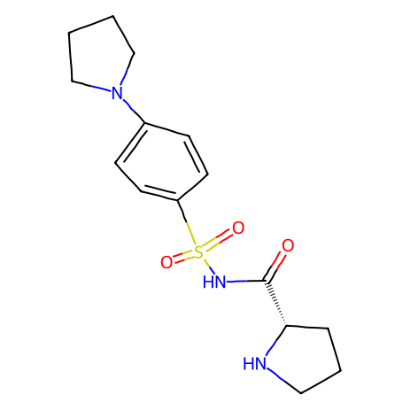 O=C(NS(=O)(=O)c1ccc(N2CCCC2)cc1)[C@@H]1CCCN1